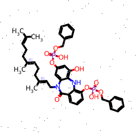 CC(C)=CCC/C(C)=C/CC/C(C)=C/CN1C(=O)c2cccc(OP(=O)(O)OCc3ccccc3)c2Nc2c(O)cc(OP(=O)(O)OCc3ccccc3)cc21